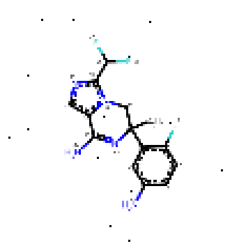 CC1(c2cc(N)ccc2F)Cn2c(cnc2C(F)F)C(N)=N1